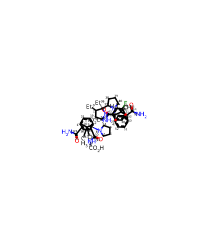 CCC1C[C@@H](C2CCCN2[C@]2(C(=O)NC(=O)O)c3ccc(cc3)C(C(N)=O)C2(C)C)N(c2cccc(F)c2)[C@]1(CC)C1CCCN1[C@]1(C(=O)NC(=O)O)c2ccc(cc2)C(C(N)=O)C1(C)C